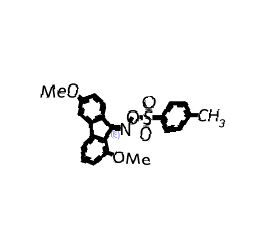 COc1ccc2c(c1)-c1cccc(OC)c1/C2=N/OS(=O)(=O)c1ccc(C)cc1